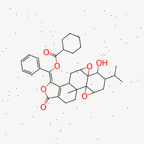 CC(C)C1CC2OC23C2(C)CCC4=C(/C(=C(\OC(=O)C5CCCCC5)c5ccccc5)OC4=O)C2CC2OC23C1O